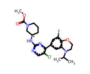 COC(=O)N1CCC[C@@H](Nc2ncc(Cl)c(-c3cc(F)c4c(c3)N(C(C)C)CCO4)n2)C1